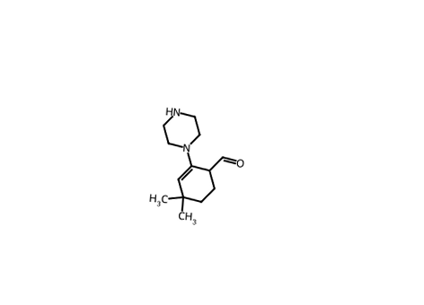 CC1(C)C=C(N2CCNCC2)C(C=O)CC1